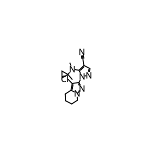 CN(c1c(C#N)cnn1-c1nn2c(c1Cl)CCCC2)C1(C)CC1